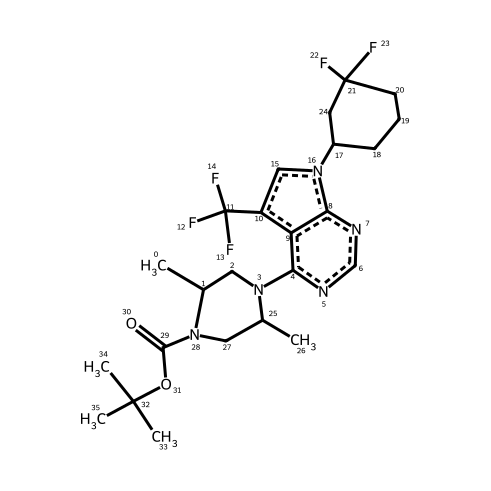 CC1CN(c2ncnc3c2c(C(F)(F)F)cn3C2CCCC(F)(F)C2)C(C)CN1C(=O)OC(C)(C)C